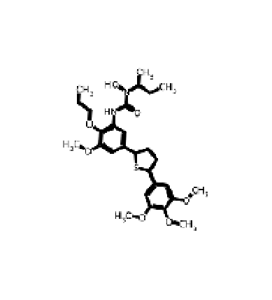 CCCOc1c(NC(=O)N(O)C(C)CC)cc(C2CCC(c3cc(OC)c(OC)c(OC)c3)S2)cc1OC